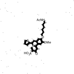 COc1cc2c(cc1OCCCCCCNC(C)=O)CC(c1cccs1)n1cc(C(=O)O)c(=O)cc1-2